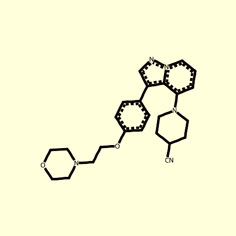 N#CC1CCN(c2cccn3ncc(-c4ccc(OCCN5CCOCC5)cc4)c23)CC1